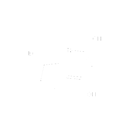 CCC1CCc2c(O)cc(O)nc21